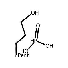 CCCCCCCCO.O=[PH](O)O